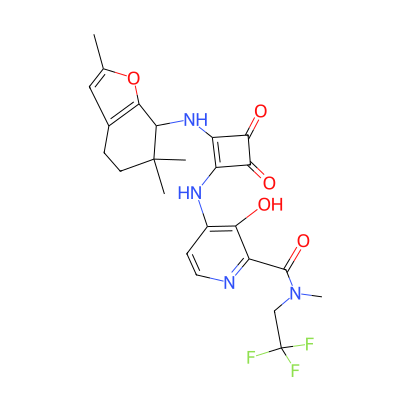 Cc1cc2c(o1)C(Nc1c(Nc3ccnc(C(=O)N(C)CC(F)(F)F)c3O)c(=O)c1=O)C(C)(C)CC2